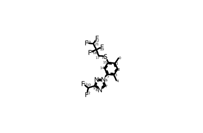 Cc1cc(C)c(-n2cnc(C(F)F)n2)cc1SCC(F)(F)C(F)F